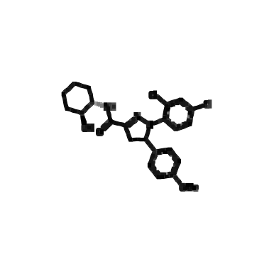 COc1ccc(C2CC(C(=O)N[C@H]3CCCC[C@@H]3O)=NN2c2ccc(Cl)cc2Cl)cc1